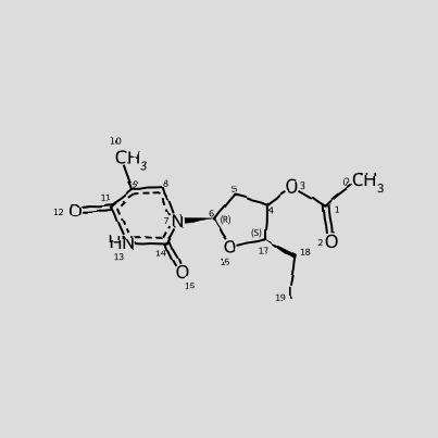 CC(=O)OC1C[C@H](n2cc(C)c(=O)[nH]c2=O)O[C@@H]1CI